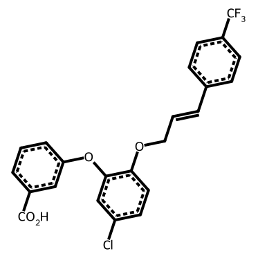 O=C(O)c1cccc(Oc2cc(Cl)ccc2OCC=Cc2ccc(C(F)(F)F)cc2)c1